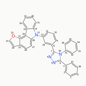 c1ccc(-c2nnc(-c3cccc(-n4c5ccccc5c5c6occc6ccc54)c3)n2-c2ccccc2)cc1